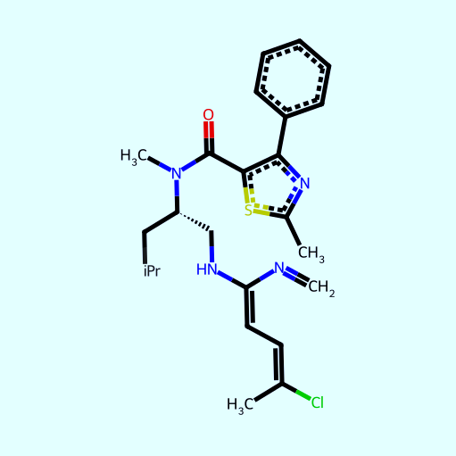 C=N/C(=C\C=C(/C)Cl)NC[C@H](CC(C)C)N(C)C(=O)c1sc(C)nc1-c1ccccc1